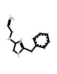 C=CCOC1COC(Cc2ccccc2)=N1